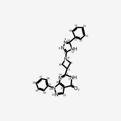 O=c1[nH]c(C2CN(c3nnc(-c4ccccc4)[nH]3)C2)nc2c1cnn2-c1ccccc1